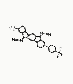 Cc1ccc2c(c1)/c(=N\C#N)c1cc3c(cc12)/c(=N/C#N)c1cc(C2=CC=C(C(F)(F)F)CC2)ccc13